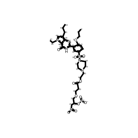 CCCOc1ccc(S(=O)(=O)N2CCN(CCOC(=O)CCOCC(C[N+](=O)[O-])O[N+](=O)[O-])CC2)cc1-c1nc2c(CCC)cn(CC)c2c(=O)[nH]1